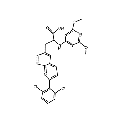 COc1nc(NC(Cc2ccc3nc(-c4c(Cl)cccc4Cl)ccc3c2)C(=O)O)nc(OC)n1